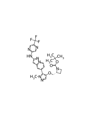 Cn1ncc(OC[C@H]2CCN2C(=O)OC(C)(C)C)c1-c1ccn2nc(Nc3cnc(C(F)(F)F)cn3)cc2c1